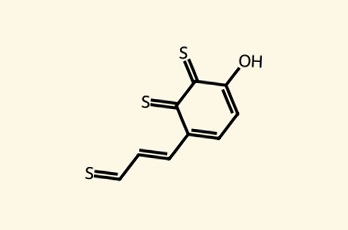 OC1=CC=C(C=CC=S)C(=S)C1=S